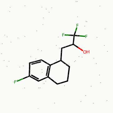 OC(CC1CCCc2cc(F)ccc21)C(F)(F)F